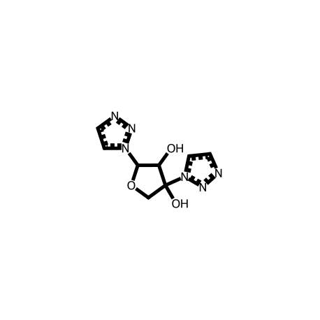 OC1C(n2ccnn2)OCC1(O)n1ccnn1